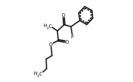 CCCCOC(=O)C(C)C(=O)C(F)c1ccccc1